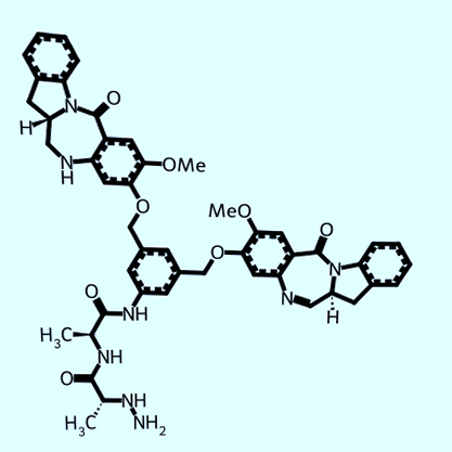 COc1cc2c(cc1OCc1cc(COc3cc4c(cc3OC)C(=O)N3c5ccccc5C[C@H]3CN4)cc(NC(=O)[C@H](C)NC(=O)[C@@H](C)NN)c1)N=C[C@@H]1Cc3ccccc3N1C2=O